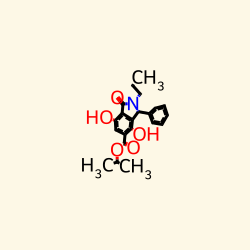 CCCN1C(=O)c2c(O)cc(C(=O)OC(C)C)c(O)c2C1c1ccccc1